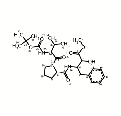 COC(=O)C(O)C(Cc1ccccc1)NC(=O)[C@@H]1CCCN1C(=O)[C@@H](NC(=O)OC(C)(C)C)C(C)C